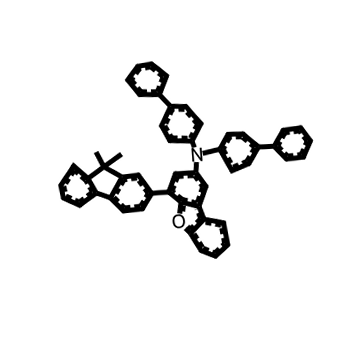 CC1(C)c2ccccc2-c2ccc(-c3cc(N(c4ccc(-c5ccccc5)cc4)c4ccc(-c5ccccc5)cc4)cc4c3oc3ccccc34)cc21